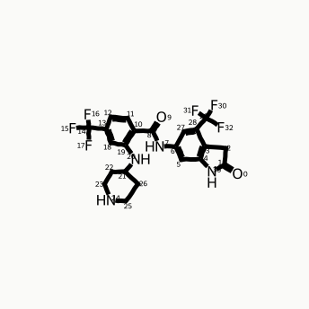 O=C1Cc2c(cc(NC(=O)c3ccc(C(F)(F)F)cc3NC3CCNCC3)cc2C(F)(F)F)N1